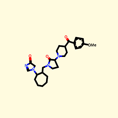 COc1ccc(C(=O)C2CCN(C3CCN(CC4CCCCCC4N4C=NC(=O)C4)C3=O)CC2)cc1